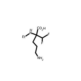 CCNC(CCCN)(C(=O)O)C(F)F